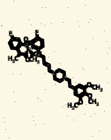 COc1cc(CCN2CCN(CC=CCOc3ccc(F)cc3[N+]3(C(C)C)C(=O)C(C)c4ccc(F)cc4S3(=O)=O)CC2)cc(OC)c1OC